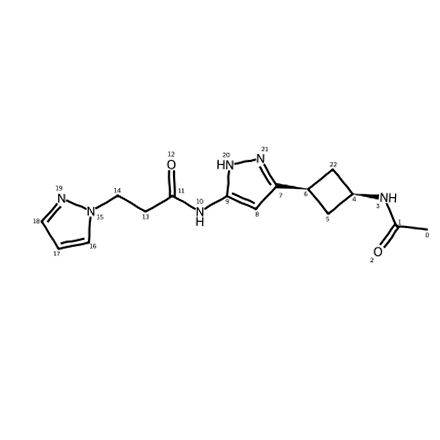 CC(=O)N[C@H]1C[C@@H](c2cc(NC(=O)CCn3cccn3)[nH]n2)C1